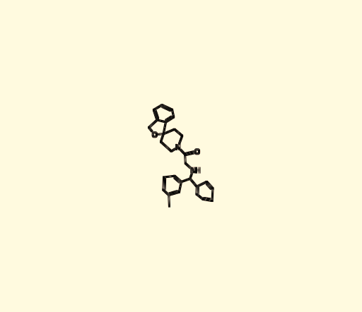 Cc1cccc(C(NCC(=O)N2CCC3(CC2)OCc2ccccc23)c2ccccc2)c1